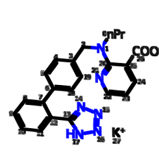 CCCN(Cc1ccc(-c2ccccc2-c2nnn[nH]2)cc1)c1ncccc1C(=O)[O-].[K+]